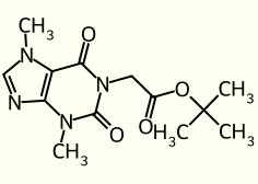 Cn1cnc2c1c(=O)n(CC(=O)OC(C)(C)C)c(=O)n2C